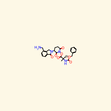 CC(C)C(C)(NC(=O)OCc1ccccc1)C(=O)ON1C(=O)CCC(N2Cc3c(CN)cccc3C2=O)C1=O